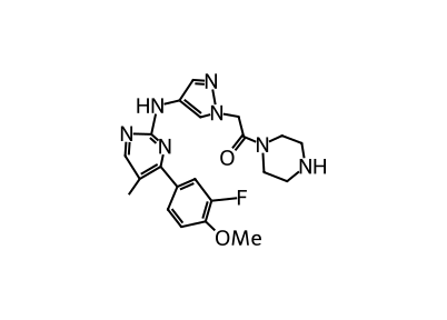 COc1ccc(-c2nc(Nc3cnn(CC(=O)N4CCNCC4)c3)ncc2C)cc1F